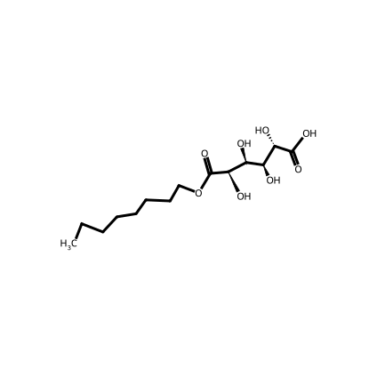 CCCCCCCCOC(=O)[C@H](O)[C@@H](O)[C@H](O)[C@H](O)C(=O)O